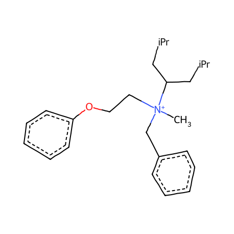 CC(C)CC(CC(C)C)[N+](C)(CCOc1ccccc1)Cc1ccccc1